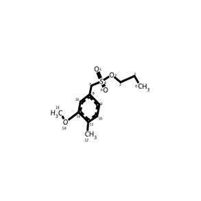 CCCOS(=O)(=O)Cc1ccc(C)c(OC)c1